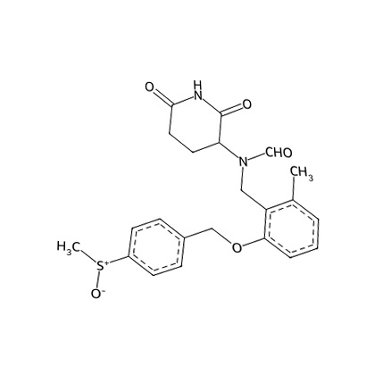 Cc1cccc(OCc2ccc([S+](C)[O-])cc2)c1CN(C=O)C1CCC(=O)NC1=O